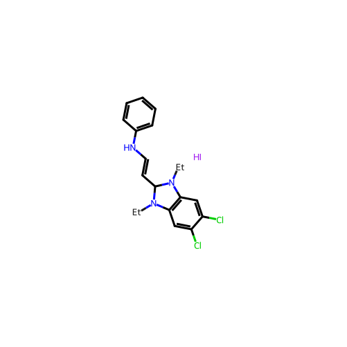 CCN1c2cc(Cl)c(Cl)cc2N(CC)C1C=CNc1ccccc1.I